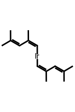 CC(C)=C/C(C)=[CH]\[Ir]/[CH]=C(/C)C=C(C)C